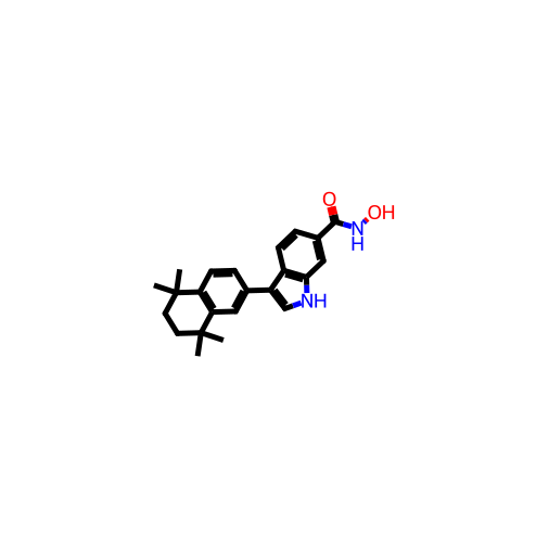 CC1(C)CCC(C)(C)c2cc(-c3c[nH]c4cc(C(=O)NO)ccc34)ccc21